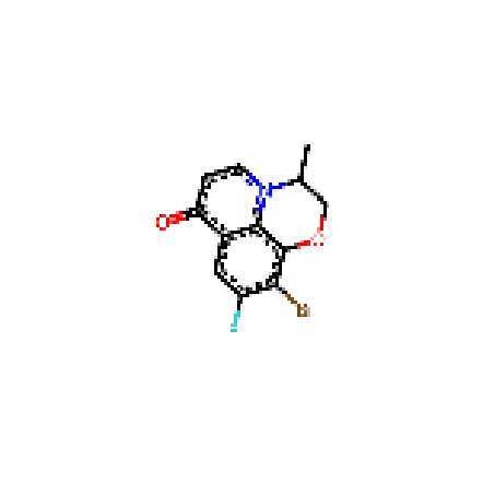 CC1COc2c(Br)c(F)cc3c(=O)ccn1c23